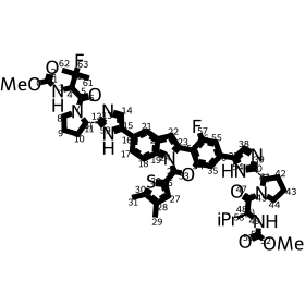 COC(=O)NC(C(=O)N1CCC[C@H]1c1ncc(-c2ccc3c(c2)cc2n3C(c3cc(C)c(C)s3)Oc3cc(-c4cnc([C@@H]5CCCN5C(=O)[C@@H](NC(=O)OC)C(C)C)[nH]4)cc(F)c3-2)[nH]1)C(C)(C)F